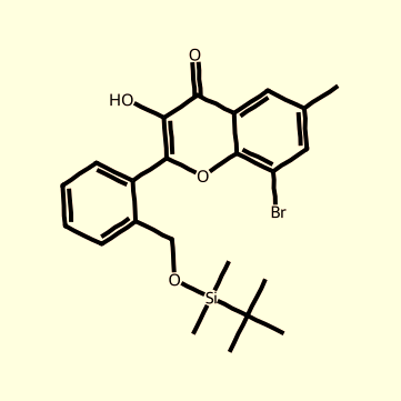 Cc1cc(Br)c2oc(-c3ccccc3CO[Si](C)(C)C(C)(C)C)c(O)c(=O)c2c1